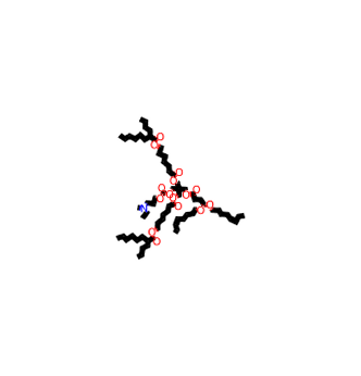 CC/C=C\CCCCOC(CCC(=O)OCC(COC(=O)CCCCCCOC(=O)C(CCCC)CCCCCC)(COC(=O)CCCCCCOC(=O)C(CCCC)CCCCCC)COC(=O)OCCCN(C)CC)OCCCC/C=C\CC